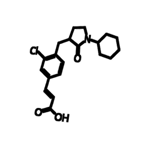 O=C(O)/C=C/c1ccc(CC2CCN(C3CCCCC3)C2=O)c(Cl)c1